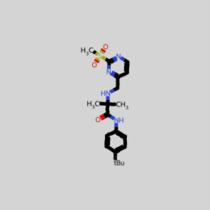 CC(C)(NCc1ccnc(S(C)(=O)=O)n1)C(=O)Nc1ccc(C(C)(C)C)cc1